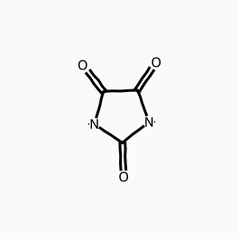 O=C1[N]C(=O)C(=O)[N]1